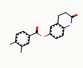 COc1ccc(C(=O)Oc2ccc3c(c2)CCC(=O)N3)cc1OC